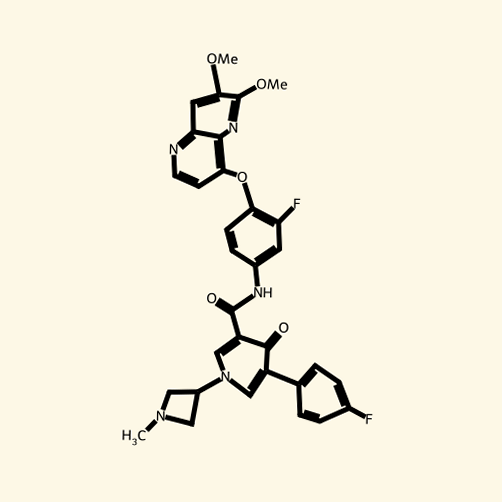 COc1cc2nccc(Oc3ccc(NC(=O)c4cn(C5CN(C)C5)cc(-c5ccc(F)cc5)c4=O)cc3F)c2nc1OC